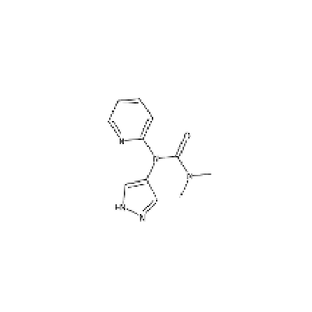 CN(C)C(=O)N(c1cn[nH]c1)c1ccccn1